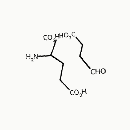 NC(CCC(=O)O)C(=O)O.O=CCCC(=O)O